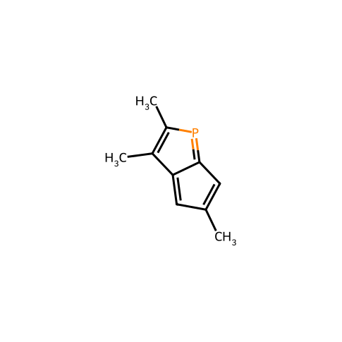 CC1=CC2=PC(C)=C(C)C2=C1